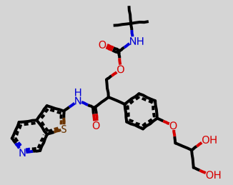 CC(C)(C)NC(=O)OCC(C(=O)Nc1cc2ccncc2s1)c1ccc(OCC(O)CO)cc1